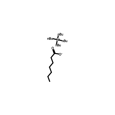 CCCCCCC(=O)[O-].CCCC[N+](CCCC)(CCCC)CCCC